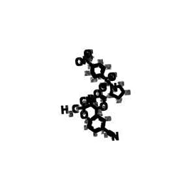 CC1(C)Oc2ccc(C#N)cc2C(OC(=O)[C@H]2CCCN2S(=O)(=O)c2ccc([N+](=O)[O-])cc2)C1Br